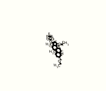 CCOC[C@H]1CC[C@]2(C)C3CC[C@]4(C)C(OS(=O)(=O)C(F)(F)F)=CC[C@]4(COCC)C3CC[C@@H]2C1